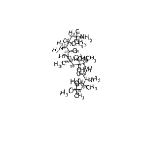 CC(NC(=O)C(N)C(C)(C)CC(C)(C)C)C(C)(C)CC(C)(C)NC(=O)C(N)C(C)(C)CC(C)(C)N